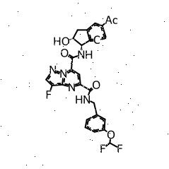 CC(=O)c1ccc2c(c1)C[C@@H](O)[C@@H]2NC(=O)c1cc(C(=O)NCc2cccc(OC(F)F)c2)nc2c(F)cnn12